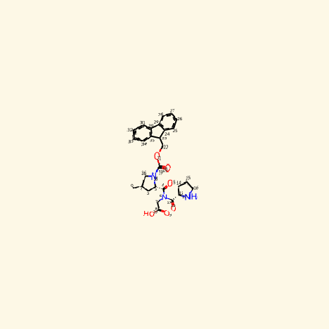 C[C@@H]1C[C@@H](C(=O)N(CC(=O)O)C(=O)[C@@H]2CCCN2)N(C(=O)OCC2c3ccccc3-c3ccccc32)C1